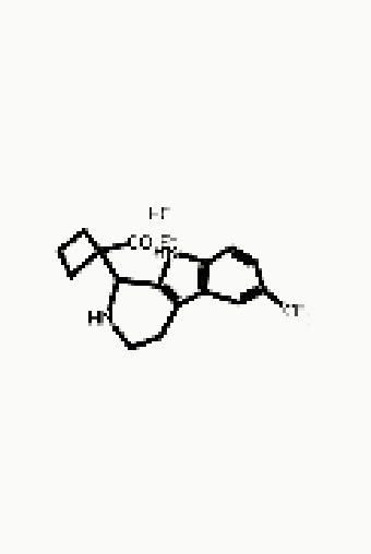 CCOC(=O)C1(C2NCCc3c2[nH]c2ccc(C(F)(F)F)cc32)CCC1.Cl